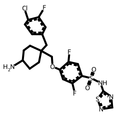 NC1CCC(COc2cc(F)c(S(=O)(=O)Nc3ncns3)cc2F)(Cc2ccc(Cl)c(F)c2)CC1